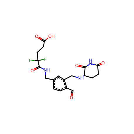 O=Cc1ccc(CNC(=O)C(F)(F)CCC(=O)O)cc1CNC1CCC(=O)NC1=O